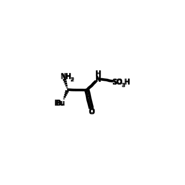 CC[C@@H](C)[C@H](N)C(=O)NS(=O)(=O)O